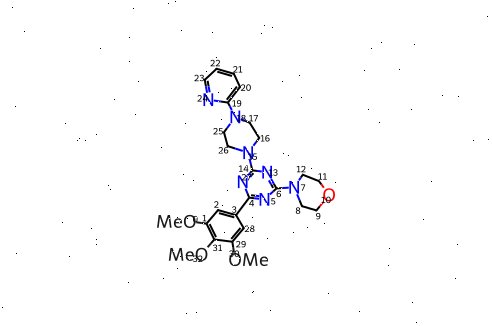 COc1cc(-c2nc(N3CCOCC3)nc(N3CCN(c4ccccn4)CC3)n2)cc(OC)c1OC